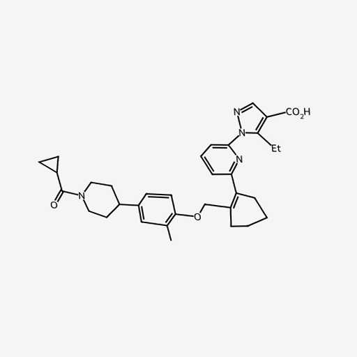 CCc1c(C(=O)O)cnn1-c1cccc(C2=C(COc3ccc(C4CCN(C(=O)C5CC5)CC4)cc3C)CCCC2)n1